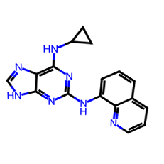 c1cnc2c(Nc3nc(NC4CC4)c4nc[nH]c4n3)cccc2c1